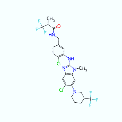 CC(C(=O)NCc1ccc(Cl)c(Nc2nc3cc(Cl)c(N4CCCC(C(F)(F)F)C4)cc3n2C)c1)C(F)(F)F